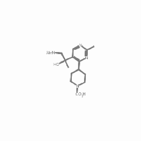 CNCC(C)(O)c1cnc(C)nc1C1CCN(C(=O)O)CC1